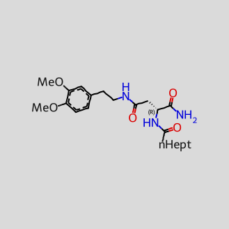 CCCCCCCC(=O)N[C@H](CC(=O)NCCc1ccc(OC)c(OC)c1)C(N)=O